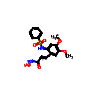 COc1cc(/C=C/C(=O)NO)c(NS(=O)(=O)c2ccccc2)cc1OC